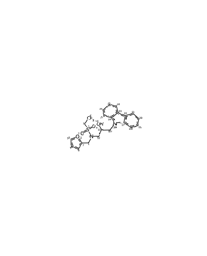 O=S(=O)(CC(F)(F)F)N(Cc1ccco1)CC(O)Cn1c2ccccc2c2ccccc21